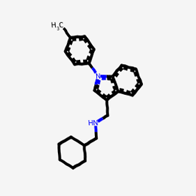 Cc1ccc(-n2cc(CNCC3CCCCC3)c3ccccc32)cc1